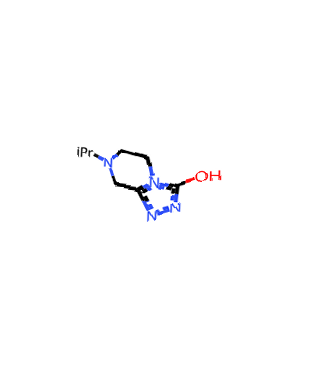 CC(C)N1CCn2c(O)nnc2C1